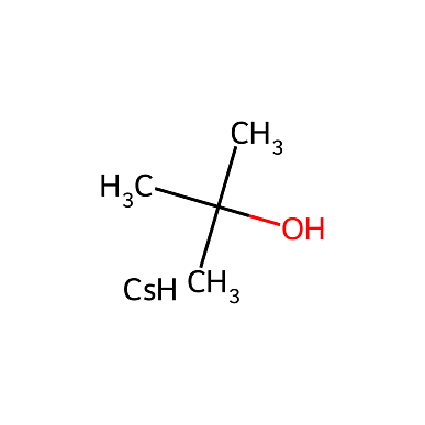 CC(C)(C)O.[CsH]